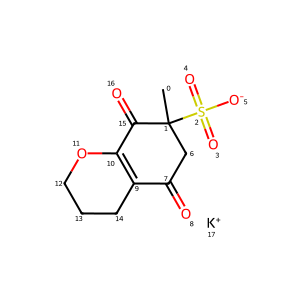 CC1(S(=O)(=O)[O-])CC(=O)C2=C(OCCC2)C1=O.[K+]